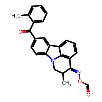 Cc1ccccc1C(=O)c1ccc2c(c1)c1cccc3c1n2CC(C)/C3=N\OC=O